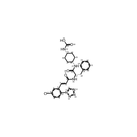 O=C(/C=C/c1cc(Cl)ccc1-n1cnnn1)N[C@@H](Cc1ccccc1)C(=O)N[C@H]1CC[C@@H](NC(=O)O)CC1